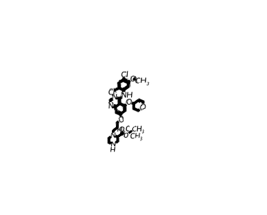 COc1cc(Nc2ncnc3cc(OCCCN4CCNCC4C(=O)OC(C)(C)C)cc(OC4CCOCC4)c23)c(Cl)cc1Cl